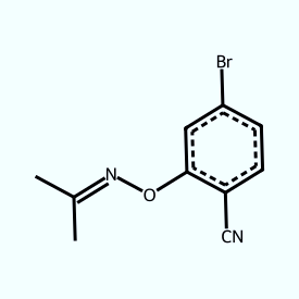 CC(C)=NOc1cc(Br)ccc1C#N